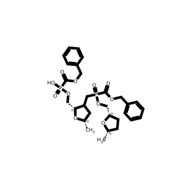 B[C@H]1CC[C@@H](COP(=O)(CC2C[C@H](C)O[C@@H]2COP(=O)(O)C(=O)OCc2ccccc2)C(=O)OCc2ccccc2)O1